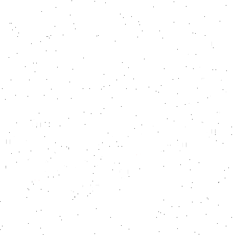 Cc1ccc(Oc2ccc(CCc3ccc(Oc4cccc(CCc5cc(C(=O)c6ccc(C)c(C)c6)ccc5C)c4C)cc3C)c(C)c2)cc1C